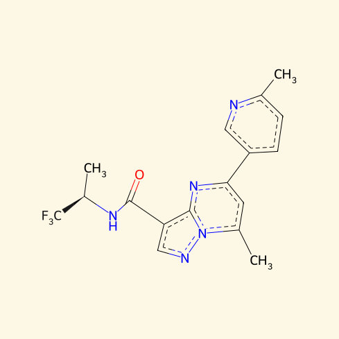 Cc1ccc(-c2cc(C)n3ncc(C(=O)N[C@H](C)C(F)(F)F)c3n2)cn1